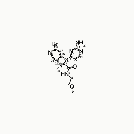 COCCNC(=O)c1c(-c2ccnc(N)n2)c2cc(Br)ncc2n1C